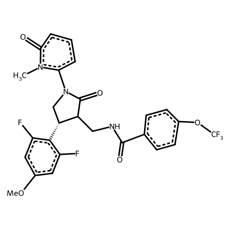 COc1cc(F)c([C@@H]2CN(c3cccc(=O)n3C)C(=O)C2CNC(=O)c2ccc(OC(F)(F)F)cc2)c(F)c1